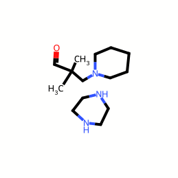 C1CNCCN1.CC(C)(C=O)CN1CCCCC1